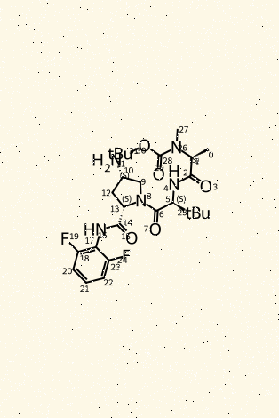 C[C@@H](C(=O)N[C@H](C(=O)N1C[C@@H](N)C[C@H]1C(=O)Nc1c(F)cccc1F)C(C)(C)C)N(C)C(=O)OC(C)(C)C